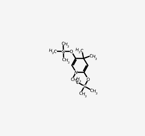 CN1C=C(O[Si](C)(C)C)C(C)(C)C=C1O[Si](C)(C)C